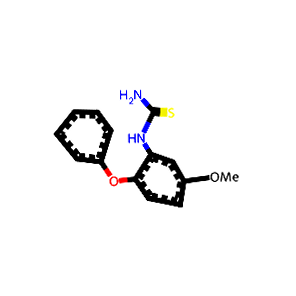 COc1ccc(Oc2ccccc2)c(NC(N)=S)c1